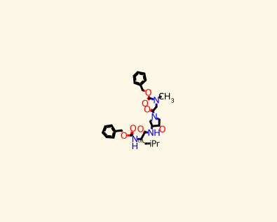 CC(C)C[C@H](NC(=O)OCc1ccccc1)C(=O)NC1CN(C(=O)CN(C)C(=O)OCc2ccccc2)CC1=O